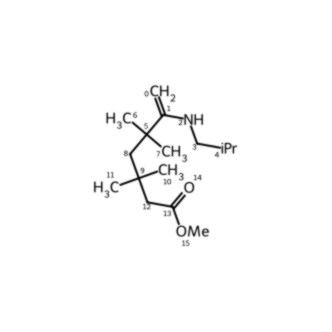 C=C(NCC(C)C)C(C)(C)CC(C)(C)CC(=O)OC